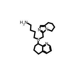 NCCCCN(Cc1ncc2n1CCCC2)C1CCCc2cccnc21